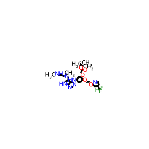 CNCCCN(C)Cc1c[nH]c2ncnc(Nc3ccc(OCCOc4cc(C(F)(F)F)ccn4)c(OCC(=O)OC(C)(C)C)c3)c12